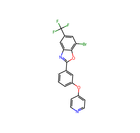 FC(F)(F)c1cc(Br)c2oc(-c3[c]ccc(Oc4ccncc4)c3)nc2c1